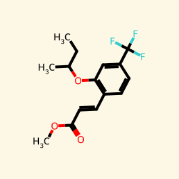 CCC(C)Oc1cc(C(F)(F)F)ccc1C=CC(=O)OC